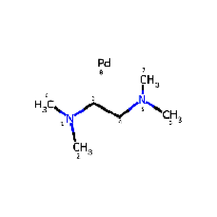 CN(C)CCN(C)C.[Pd]